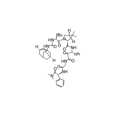 CCCC(NC(=O)[C@@H]1[C@@H]2[C@H](CN1C(=O)[C@@H](NC(=O)NC13CC4C[C@H](C1)C[C@@H](C4)C3)C(C)(C)C)C2(C)C)C(=O)C(=O)NCC(=O)N[C@H](C(=O)N(C)C)c1ccccc1